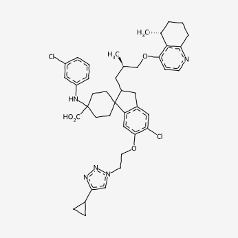 C[C@@H](COc1ccnc2c1[C@H](C)CCC2)CC1Cc2cc(Cl)c(OCCn3cc(C4CC4)nn3)cc2C12CCC(Nc1cccc(Cl)c1)(C(=O)O)CC2